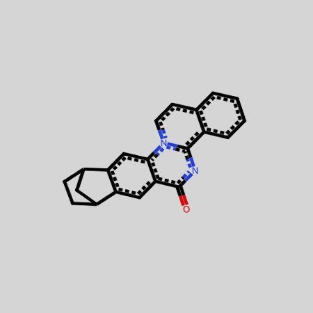 O=c1nc2c3ccccc3ccn2c2cc3c(cc12)C1CCC3C1